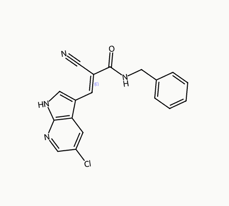 N#C/C(=C\c1c[nH]c2ncc(Cl)cc12)C(=O)NCc1ccccc1